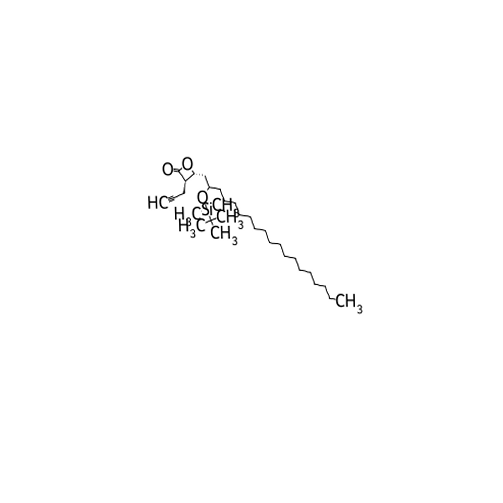 C#CC[C@H]1C(=O)O[C@@H]1CC(CCCCCCCCCCCCCCCCC)O[Si](C)(C)C(C)(C)C